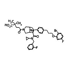 CC(C)(CCC(=O)N1CC2CC(c3ccc(CCCOc4cc(F)ccc4Br)cc3)=C(C(=O)N(Cc3ccccc3F)C3CC3)C(C1)N2)C(=O)O